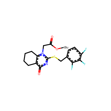 CC(C)(C)OC(=O)Cn1c(SCc2ccc(F)c(F)c2F)nc(=O)c2c1CCCC2